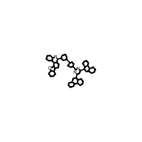 c1cc(-c2ccc(-c3nc(-c4cc5ccccc5c5ccccc45)cc(-c4cc5ccccc5c5ccccc45)n3)cc2)cc(-c2nc3ccccc3c3c2ccc2c4ccccc4oc23)c1